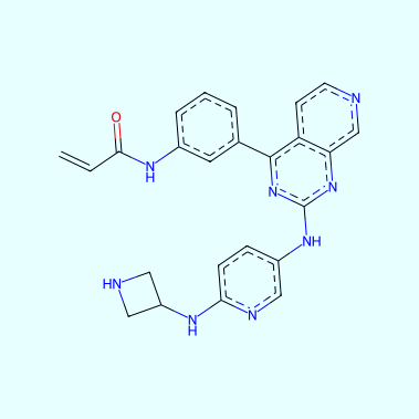 C=CC(=O)Nc1cccc(-c2nc(Nc3ccc(NC4CNC4)nc3)nc3cnccc23)c1